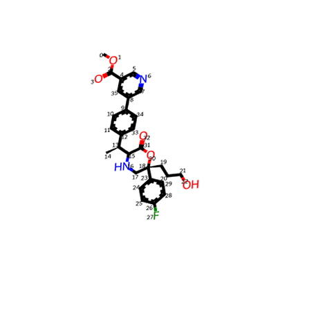 COC(=O)c1cncc(-c2ccc([C@H](C)C3NC[C@@](CCCO)(c4ccc(F)cc4)OC3=O)cc2)c1